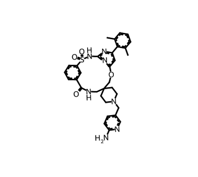 Cc1cccc(C)c1-c1cc2nc(n1)NS(=O)(=O)c1cccc(c1)C(=O)NCC1(CCN(Cc3ccc(N)nc3)CC1)CO2